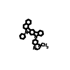 CN1CC=Nc2ccc(-n3c4ccccc4c4cc5c6c7ccccc7ccc6n(-c6ccccc6)c5cc43)cc21